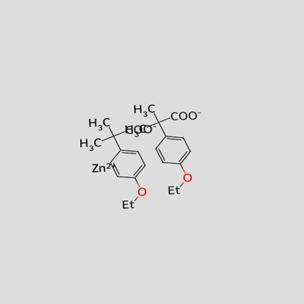 CCOc1ccc(C(C)(C)C(=O)[O-])cc1.CCOc1ccc(C(C)(C)C(=O)[O-])cc1.[Zn+2]